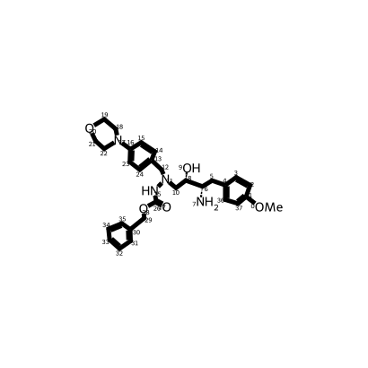 COc1ccc(C[C@H](N)[C@@H](O)CN(Cc2ccc(N3CCOCC3)cc2)NC(=O)OCc2ccccc2)cc1